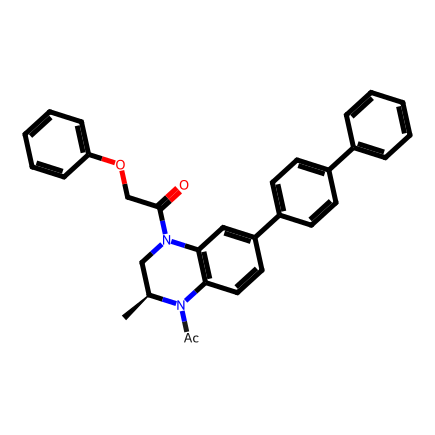 CC(=O)N1c2ccc(-c3ccc(-c4ccccc4)cc3)cc2N(C(=O)COc2ccccc2)C[C@@H]1C